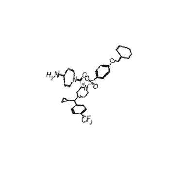 NC1CCN(C(=O)[C@H]2CN(C(c3ccc(C(F)(F)F)cc3)C3CC3)CCN2S(=O)(=O)c2ccc(OCC3CCCCC3)cc2)CC1